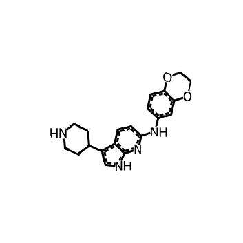 c1cc2c(cc1Nc1ccc3c(C4CCNCC4)c[nH]c3n1)OCCO2